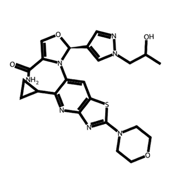 CC(O)Cn1cc([C@@H]2OC=C(C(N)=O)N2c2cc3sc(N4CCOCC4)nc3nc2C2CC2)cn1